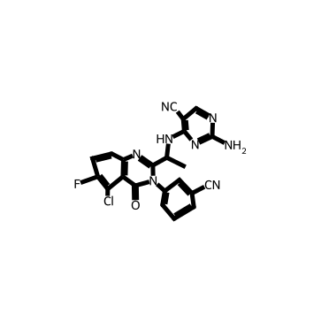 CC(Nc1nc(N)ncc1C#N)c1nc2ccc(F)c(Cl)c2c(=O)n1-c1cccc(C#N)c1